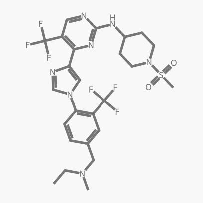 CCN(C)Cc1ccc(-n2cnc(-c3nc(NC4CCN(S(C)(=O)=O)CC4)ncc3C(F)(F)F)c2)c(C(F)(F)F)c1